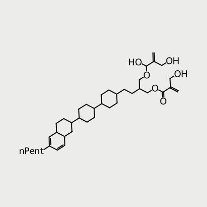 C=C(CO)C(=O)OCC(CCC1CCC(C2CCC(C3CCC4C=C(CCCCC)C=CC4C3)CC2)CC1)COC(O)C(=C)CO